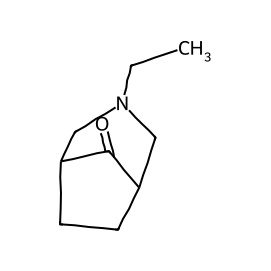 CCN1CC2CCC(C1)C2=O